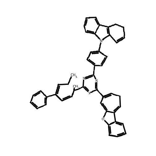 CC/C=C(\C=C/C(C)c1nc(C2=CCC=c3c(oc4ccccc34)=C2)nc(-c2ccc(-n3c4c(c5ccccc53)CCC=C4)cc2)n1)c1ccccc1